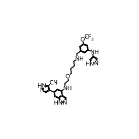 N#Cc1[nH]ncc1-c1cc(NCCOCCCCNCc2cc(Nc3cn[nH]c3)cc(OC(F)(F)F)c2)c2cn[nH]c2c1